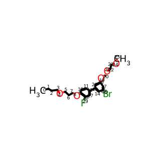 CCCCOCCCOc1ccc(-c2cc(Br)cc(OCOCCOC)c2)cc1F